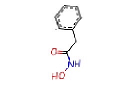 O=C(Cc1[c]cccc1)NO